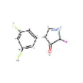 O=C1C(I)N=CC1c1cc(F)cc(F)c1